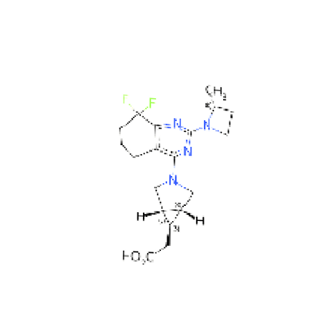 C[C@@H]1CCN1c1nc(N2C[C@@H]3[C@@H](CC(=O)O)[C@@H]3C2)c2c(n1)C(F)(F)CCC2